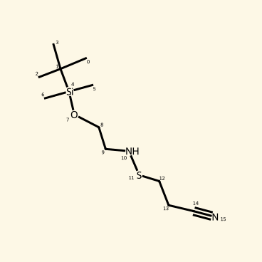 CC(C)(C)[Si](C)(C)OCCNSCCC#N